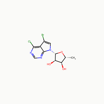 C[C@H]1O[C@@H](n2cc(Br)c3c(Cl)ncnc32)[C@H](O)[C@@H]1O